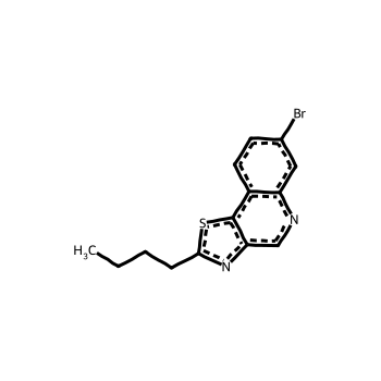 CCCCc1nc2cnc3cc(Br)ccc3c2s1